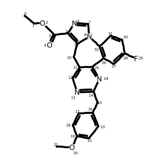 CCOC(=O)c1ncn2c1Cc1cnc(Cc3ccc(OC)cc3)nc1-c1cc(F)ccc1-2